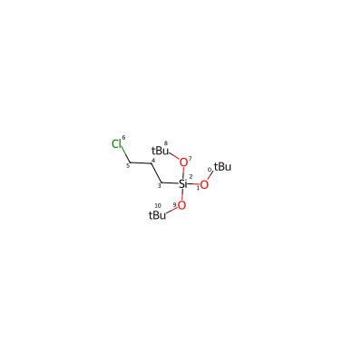 CC(C)(C)O[Si](CCCCl)(OC(C)(C)C)OC(C)(C)C